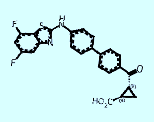 O=C(O)[C@@H]1C[C@H]1C(=O)c1ccc(-c2ccc(Nc3nc4cc(F)cc(F)c4s3)cc2)cc1